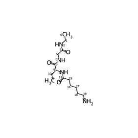 CCNC(=O)CNC(=O)[C@H](CC)NC(=O)CCCCCN